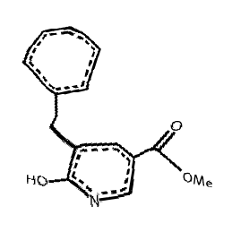 COC(=O)c1cnc(O)c(Cc2ccccc2)c1